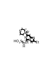 CCc1nc2cc([N+]3([O-])CCSCC3)nc(CC)n2n1.O=S(=O)(O)O